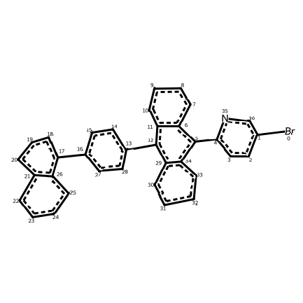 Brc1ccc(-c2c3ccccc3c(-c3ccc(-c4cccc5ccccc45)cc3)c3ccccc23)nc1